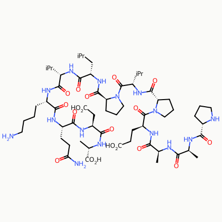 CC(C)C[C@H](NC(=O)[C@@H]1CCCN1C(=O)[C@@H](NC(=O)[C@@H]1CCCN1C(=O)[C@H](CCC(=O)O)NC(=O)[C@H](C)NC(=O)[C@H](C)NC(=O)[C@@H]1CCCN1)C(C)C)C(=O)N[C@H](C(=O)N[C@@H](CCCCN)C(=O)N[C@@H](CCC(N)=O)C(=O)N[C@@H](CC(=O)O)C(=O)N[C@@H](C)C(=O)O)C(C)C